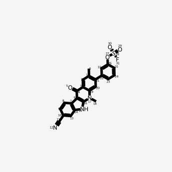 Cc1cc2c(=O)c3c4ccc(C#N)cc4[nH]c3n(C)c2cc1-c1cccc(OS(=O)(=O)F)c1